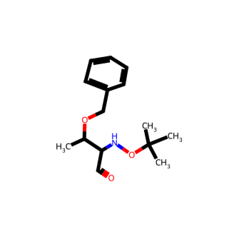 CC(OCc1ccccc1)C(C=O)NOC(C)(C)C